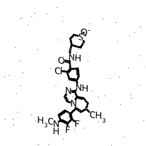 CNc1ccc(C2=CC(C)CC=C3C(Nc4ccc(C(=O)NCC5CC[S+]([O-])CC5)c(Cl)c4)=NC=CN32)c(F)c1F